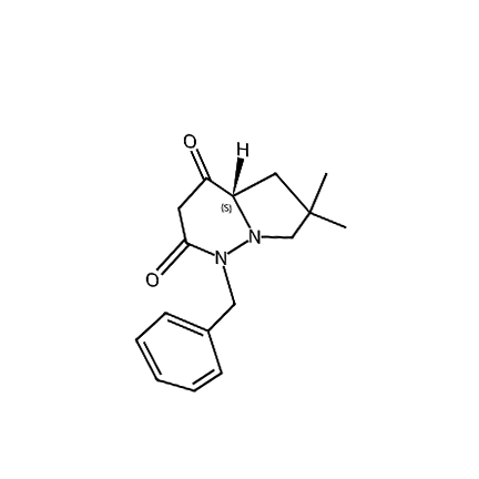 CC1(C)C[C@H]2C(=O)CC(=O)N(Cc3ccccc3)N2C1